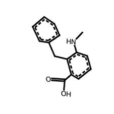 CNc1cccc(C(=O)O)c1Cc1ccccc1